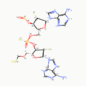 Nc1ncnc2c1ncn2[C@@H]1O[C@H](CO[P@@](=O)(S)O[C@H]2[C@H](F)[C@H](n3cnc4c(N)ncnc43)O[C@@H]2COCS)[C@@H](OP=O)[C@@H]1F